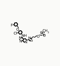 CCS(=O)(=O)CCOCCCc1nc(-c2cc3c(Nc4ccc(OCc5cccc(F)c5)c(Cl)c4)ncnc3cn2)cs1